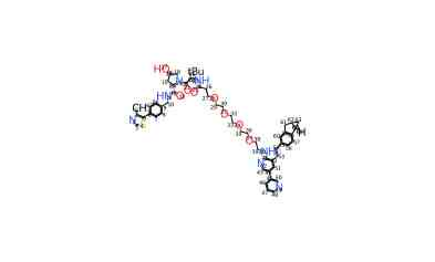 Cc1ncsc1-c1ccc(CNC(=O)[C@@H]2C[C@@H](O)CN2C(=O)[C@@H](NC(=O)CCOCCOCCOCCOCCNc2ncc(-c3cccnc3)cc2/C=C/c2ccc3c(c2)CC2C[C@H]32)C(C)(C)C)cc1